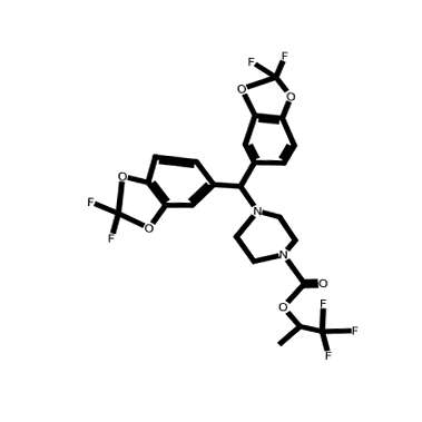 CC(OC(=O)N1CCN(C(c2ccc3c(c2)OC(F)(F)O3)c2ccc3c(c2)OC(F)(F)O3)CC1)C(F)(F)F